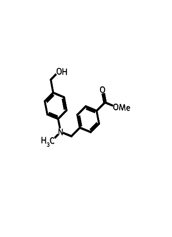 COC(=O)c1ccc(CN(C)c2ccc(CO)cc2)cc1